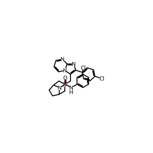 O=C(Nc1cccc(Cl)c1)N1C2CCC1CN(Cc1c(-c3ccc(Cl)cc3)nc3ncccn13)C2